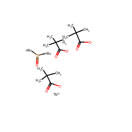 CC(C)(C)C(=O)[O-].CC(C)(C)C(=O)[O-].CC(C)(C)C(=O)[O-].CCCCS(=O)CCCC.[Tb+3]